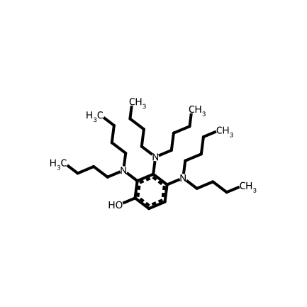 CCCCN(CCCC)c1ccc(O)c(N(CCCC)CCCC)c1N(CCCC)CCCC